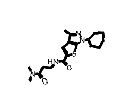 Cc1nn(C2CCCCC2)c2sc(C(=O)NCCC(=O)N(C)C)cc12